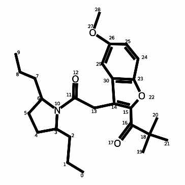 CCCC1CCC(CCC)N1C(=O)Cc1c(C(=O)C(C)(C)C)oc2ccc(OC)cc12